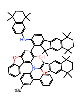 CC(C)(C)c1ccc(N2c3oc4cc5c(cc4c3Bc3c(-c4c(Nc6ccc7c(c6)C(C)(C)CCC7(C)C)ccc6c4C(C)(C)c4cc7c(cc4-6)C(C)(C)CCC7(C)C)cc4oc6ccccc6c4c32)C(C)(C)CCC5(C)C)c(-c2ccccc2)c1